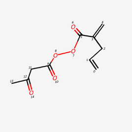 C=CCC(=C)C(=O)OOC(=O)CC(C)=O